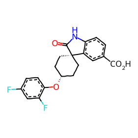 O=C(O)c1ccc2c(c1)[C@]1(CC[C@@H](Oc3ccc(F)cc3F)CC1)C(=O)N2